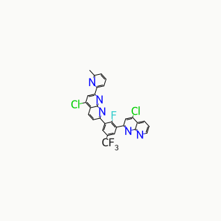 Cc1cccc(-c2cc(Cl)c3ccc(-c4cc(C(F)(F)F)cc(-c5cc(Cl)c6cccnc6n5)c4F)nc3n2)n1